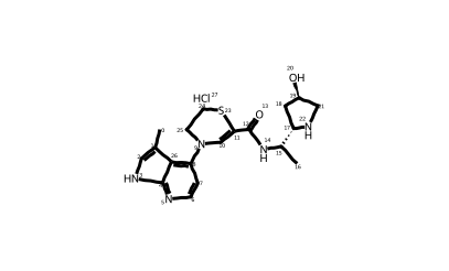 Cc1c[nH]c2nccc(N3C=C(C(=O)NC(C)[C@@H]4C[C@@H](O)CN4)SCC3)c12.Cl